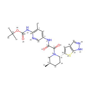 Cc1cc(NC(=O)C(=O)N2C[C@H](C)CC[C@H]2c2cc3cn[nH]c3s2)cnc1NC(=O)OC(C)(C)C